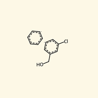 OCc1c[c]cc(Cl)c1.[c]1ccccc1